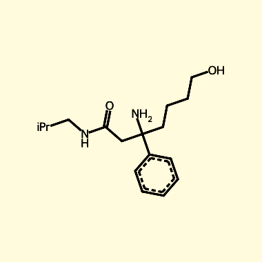 CC(C)CNC(=O)CC(N)(CCCCO)c1ccccc1